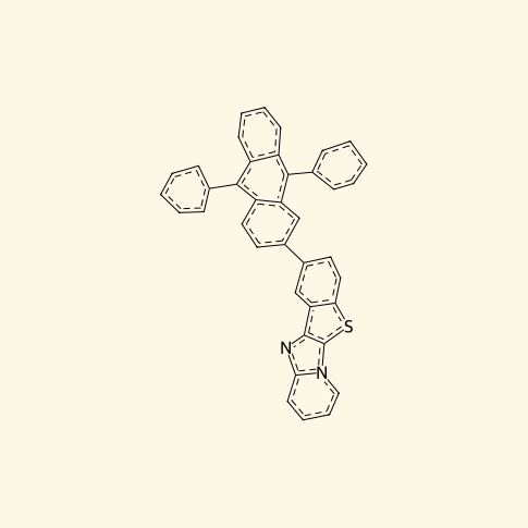 c1ccc(-c2c3ccccc3c(-c3ccccc3)c3cc(-c4ccc5sc6c(nc7ccccn76)c5c4)ccc23)cc1